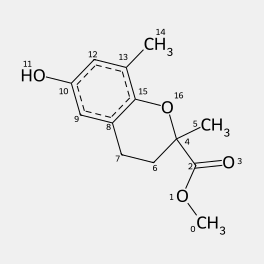 COC(=O)C1(C)CCc2cc(O)cc(C)c2O1